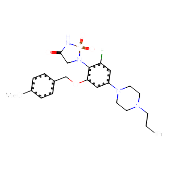 COc1ccc(COc2cc(N3CCN(CCC(C)C)CC3)cc(F)c2N2CC(=O)NS2(=O)=O)cc1